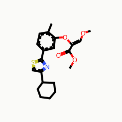 CO/C=C(\Oc1cc(-c2nc(C3CCCCC3)cs2)ccc1C)C(=O)OC